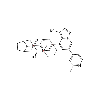 Cc1cc(-c2cc(-c3ccc(N4CC5CCC(C4)N5C(=O)[C@H](O)C4CCCCC4)nc3)c3c(C#N)cnn3c2)ccn1